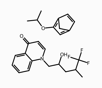 CC(C)OC1=C2C=CC(=C1)C2.CC(CC(O)Cn1ccc(=O)c2ccccc21)C(F)(F)F